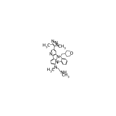 CNCCN(C)c1ccc2c3ncc(-c4c(C)nnn4C)cc3n(C(CC3CCOCC3)c3ccccc3F)c2n1